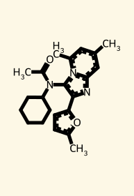 CC(=O)N(c1c(-c2ccc(C)o2)nc2cc(C)cc(C)n12)C1CCCCC1